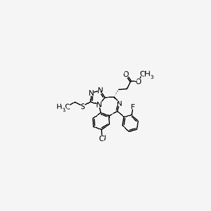 CCSc1nnc2n1-c1ccc(Cl)cc1C(c1ccccc1F)=N[C@H]2CCC(=O)OC